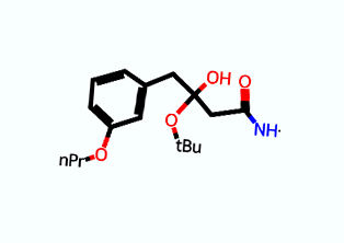 CCCOc1cccc(CC(O)(CC([NH])=O)OC(C)(C)C)c1